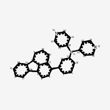 c1cc(-c2ccc3c4c(cccc24)-c2ccccc2-3)cc(N(c2ccncc2)c2ccncc2)c1